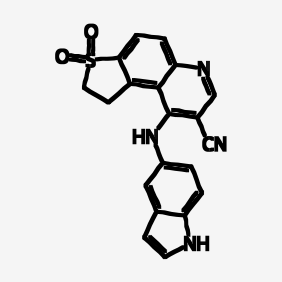 N#Cc1cnc2ccc3c(c2c1Nc1ccc2[nH]ccc2c1)CCS3(=O)=O